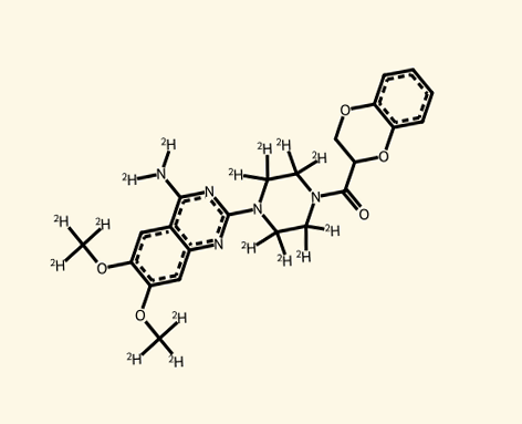 [2H]N([2H])c1nc(N2C([2H])([2H])C([2H])([2H])N(C(=O)C3COc4ccccc4O3)C([2H])([2H])C2([2H])[2H])nc2cc(OC([2H])([2H])[2H])c(OC([2H])([2H])[2H])cc12